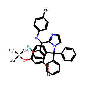 CCOc1cc(O[Si](C)(C)C(C)(C)C)c(F)c(C(Nc2ccc(C#N)cc2)c2nccn2C(c2ccccc2)(c2ccccc2)c2ccccc2)c1